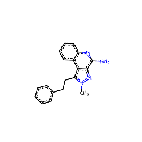 Cn1nc2c(N)nc3ccccc3c2c1CCc1ccccc1